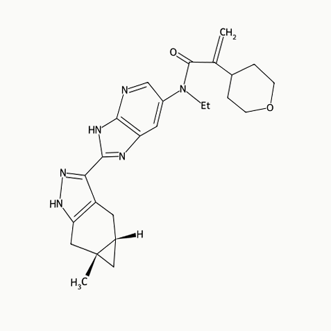 C=C(C(=O)N(CC)c1cnc2[nH]c(-c3n[nH]c4c3C[C@@H]3C[C@]3(C)C4)nc2c1)C1CCOCC1